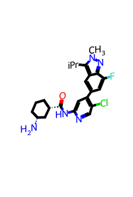 CC(C)c1c2cc(-c3cc(NC(=O)[C@H]4CCC[C@@H](N)C4)ncc3Cl)cc(F)c2nn1C